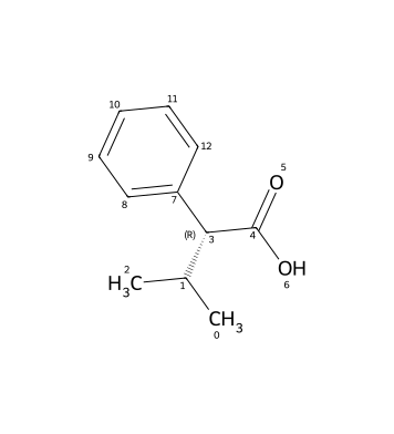 CC(C)[C@@H](C(=O)O)c1ccccc1